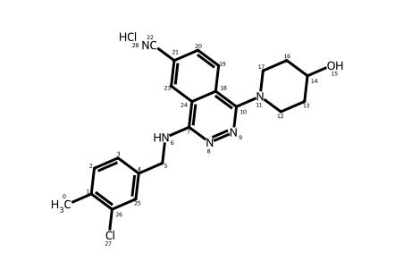 Cc1ccc(CNc2nnc(N3CCC(O)CC3)c3ccc(C#N)cc23)cc1Cl.Cl